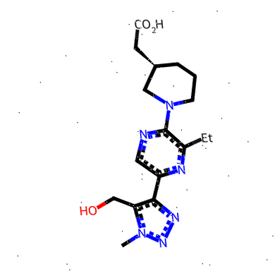 CCc1nc(-c2nnn(C)c2CO)cnc1N1CCC[C@H](CC(=O)O)C1